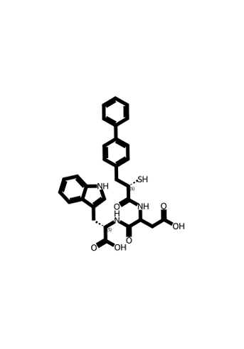 O=C(O)CC(NC(=O)[C@@H](S)Cc1ccc(-c2ccccc2)cc1)C(=O)N[C@@H](Cc1c[nH]c2ccccc12)C(=O)O